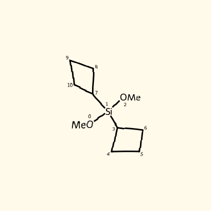 CO[Si](OC)(C1CCC1)C1CCC1